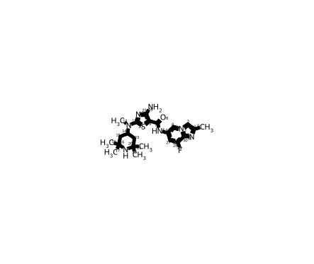 Cc1cn2cc(NC(=O)c3sc(N(C)C4CC(C)(C)NC(C)(C)C4)nc3N)cc(F)c2n1